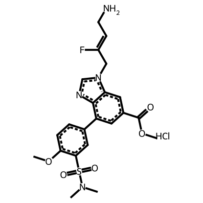 COC(=O)c1cc(-c2ccc(OC)c(S(=O)(=O)N(C)C)c2)c2ncn(C/C(F)=C/CN)c2c1.Cl